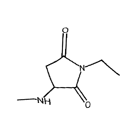 CCN1C(=O)CC(NC)C1=O